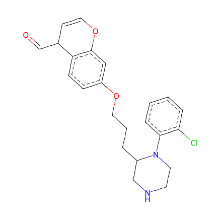 O=CC1C=COc2cc(OCCCC3CNCCN3c3ccccc3Cl)ccc21